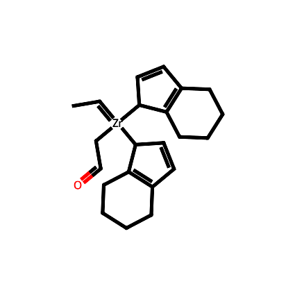 C[CH]=[Zr]([CH2]C=O)([CH]1C=CC2=C1CCCC2)[CH]1C=CC2=C1CCCC2